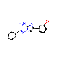 COc1cccc(-c2cn(N=Cc3ccccc3)c(N)n2)c1